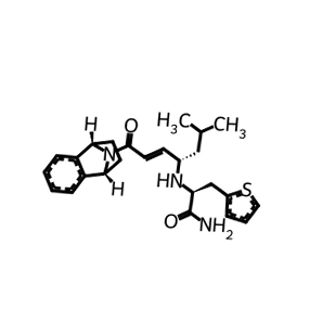 CC(C)C[C@@H](/C=C/C(=O)N1[C@@H]2CC[C@H]1c1ccccc12)N[C@@H](Cc1cccs1)C(N)=O